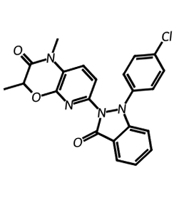 CC1Oc2nc(-n3c(=O)c4ccccc4n3-c3ccc(Cl)cc3)ccc2N(C)C1=O